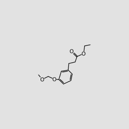 CCOC(=O)CCc1cccc(OCOC)c1